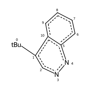 CC(C)(C)c1cnnc2ccccc12